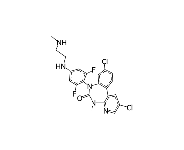 CNCCNc1cc(F)c(N2C(=O)N(C)c3ncc(Cl)cc3-c3ccc(Cl)cc32)c(F)c1